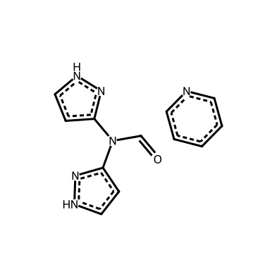 O=CN(c1cc[nH]n1)c1cc[nH]n1.c1ccncc1